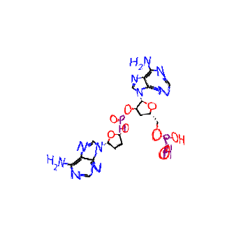 Nc1ncnc2c1ncn2[C@@H]1O[C@H](CO[PH](=O)O)C[C@H]1O[PH](=O)O[C@@H]1CC[C@H](n2cnc3c(N)ncnc32)O1